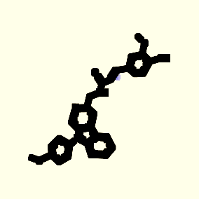 COc1ccc(-n2c3ccccc3c3cc(CNC(=O)/C=C/c4ccc(O)c(OC)c4)ncc32)cc1